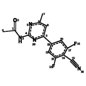 CC(=O)Nc1nc(C)cc(-c2cc(F)c(C#N)c(F)c2)n1